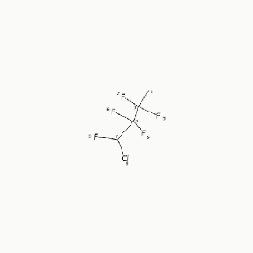 CC(F)(F)C(F)(F)C(F)Cl